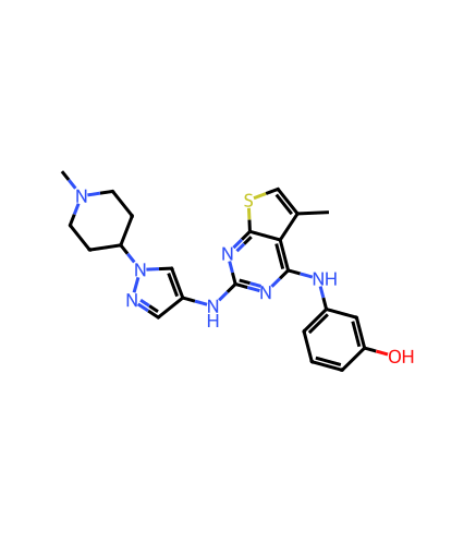 Cc1csc2nc(Nc3cnn(C4CCN(C)CC4)c3)nc(Nc3cccc(O)c3)c12